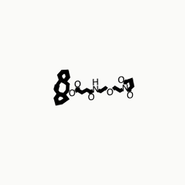 O=C(CCC(=O)OC1Cc2ccccc2C#Cc2ccccc21)NCCOCCN1C(=O)C=CC1=O